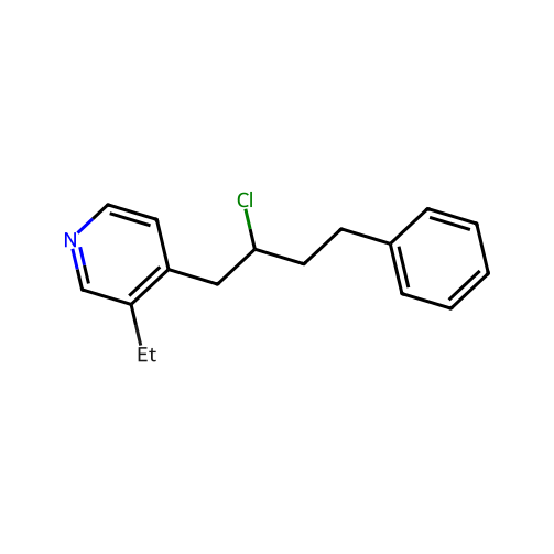 CCc1cnccc1CC(Cl)CCc1ccccc1